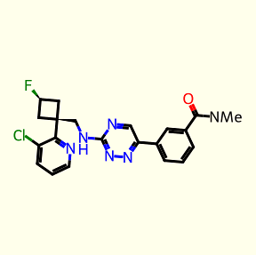 CNC(=O)c1cccc(-c2cnc(NC[C@]3(c4ncccc4Cl)C[C@H](F)C3)nn2)c1